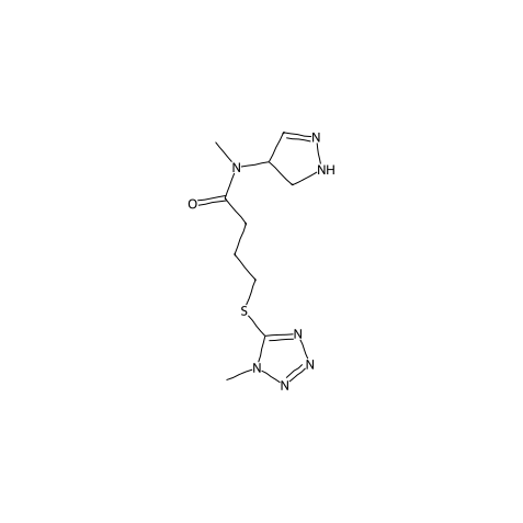 CN(C(=O)CCCSc1nnnn1C)C1C=NNC1